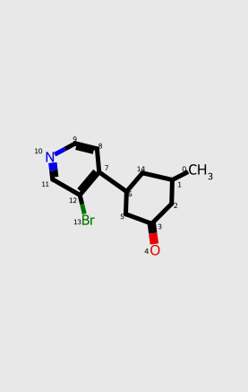 CC1CC(=O)CC(c2ccncc2Br)C1